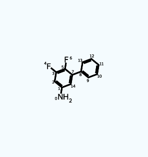 Nc1cc(F)c(F)c(-c2ccccc2)c1